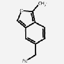 [CH2]c1occ2cc(CC(C)=O)ccc12